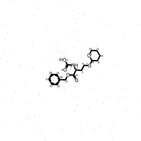 O=C(O)NC(CCOC1CCCCO1)C(=O)OCc1ccccc1